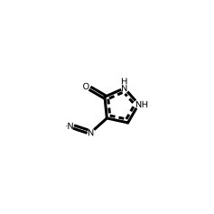 [N]=Nc1c[nH][nH]c1=O